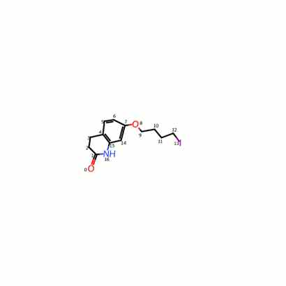 O=C1CCc2ccc(OCCCCI)cc2N1